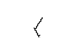 [CH2]C(C)CCCCCC(C)CCCCCCCCCC